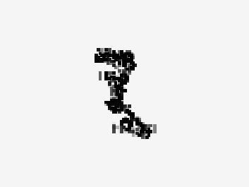 Cc1c(-c2ccc(N3CCc4cccc(C(=O)Nc5nc6ncccc6s5)c4C3)nc2C(=O)O)cnn1CC12CC3(C)CC(C)(C1)CC(OCCN(CCCP(=O)(O)O)C1CCNCC1)(C3)C2